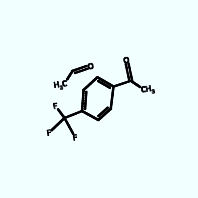 CC(=O)c1ccc(C(F)(F)F)cc1.CC=O